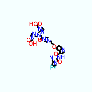 N#CC1CC(F)(F)CN1C(=O)CNC(=O)c1ccnc2ccc(OCCCN3CCN(C(=O)CN(Cc4nccn4CC(=O)O)Cc4nccn4CC(=O)O)CC3)cc12